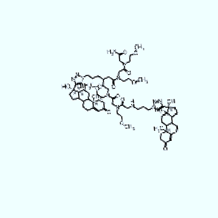 COCCN(CC(N)=O)C(=O)CN(CCOC)C(=O)CC(CCCn1cc([C@]2(O)CCC3C4CCC5=CC(=O)CC[C@]5(C)C4CC[C@@]32C)nn1)C(=O)CN(CCOC)C(=O)CN(CCOC)C(=O)CNCCCn1cc([C@]2(O)CCC3C4CCC5=CC(=O)CC[C@]5(C)C4CC[C@@]32C)nn1